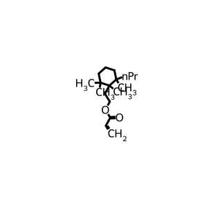 C=CC(=O)OCCC1(C)C(C)(C)CCCC1(C)CCC